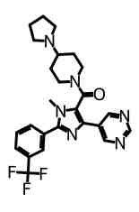 Cn1c(-c2cccc(C(F)(F)F)c2)nc(-c2cncnc2)c1C(=O)N1CCC(N2CCCC2)CC1